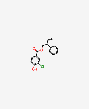 C=CC(COC(=O)c1ccc(O)c(Cl)c1)c1ccccc1